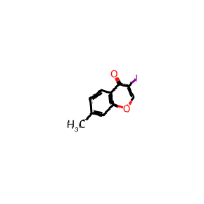 Cc1ccc2c(=O)c(I)coc2c1